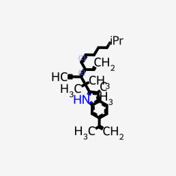 C#C/C(=C(C=C)\C=C/CCCC(C)C)C(C)(C)c1[nH]c2cc(C(=C)C)ccc2c1C